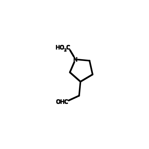 O=CCC1CCN(C(=O)O)C1